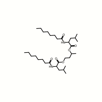 CCCCCCCC(=O)NC(CC(C)C)C(=O)OCCC(C)OC(=O)C(CC(C)C)NC(=O)CCCCCCC